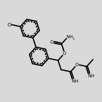 CC(=N)OC(=N)CC(OC(N)=O)c1cccc(-c2cccc(Cl)c2)c1